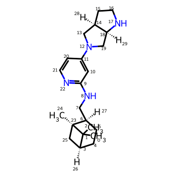 CC1(C)[C@H]2CC[C@H](CNc3cc(N4C[C@H]5CCN[C@H]5C4)ccn3)[C@]1(C)C2